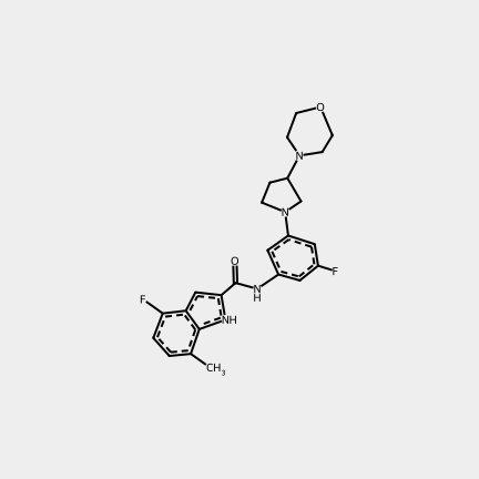 Cc1ccc(F)c2cc(C(=O)Nc3cc(F)cc(N4CCC(N5CCOCC5)C4)c3)[nH]c12